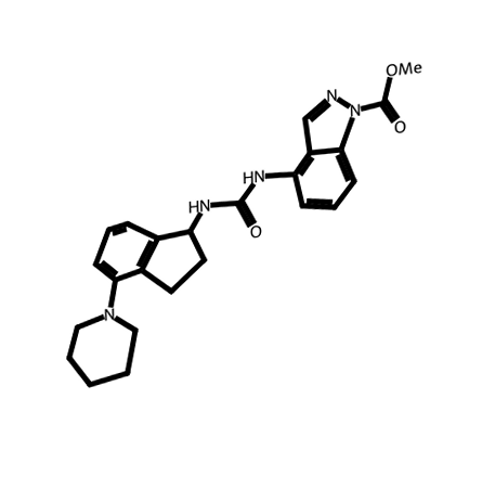 COC(=O)n1ncc2c(NC(=O)NC3CCc4c3cccc4N3CCCCC3)cccc21